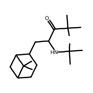 CC(C)(C)NC(CC1CCC2CC1C2(C)C)C(=O)C(C)(C)C